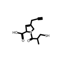 C#CCC1=CC(C(=O)O)N(C(=O)C(C)CS)C1